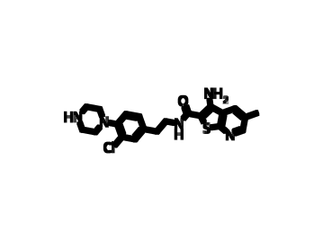 Cc1cnc2sc(C(=O)NCCc3ccc(N4CCNCC4)c(Cl)c3)c(N)c2c1